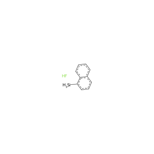 F.[SiH3]c1cccc2ccccc12